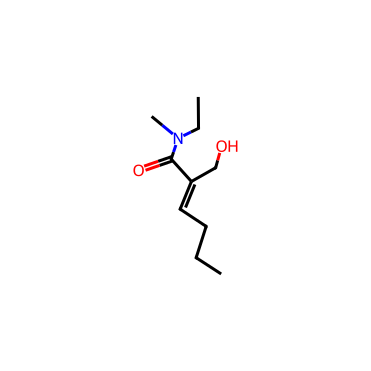 CCC/C=C(\CO)C(=O)N(C)CC